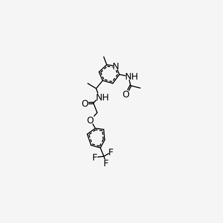 CC(=O)Nc1cc(C(C)NC(=O)COc2ccc(C(F)(F)F)cc2)cc(C)n1